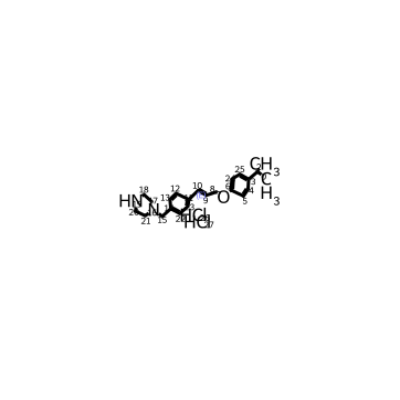 CC(C)c1ccc(OC/C=C/c2ccc(CN3CCNCC3)cc2)cc1.Cl.Cl